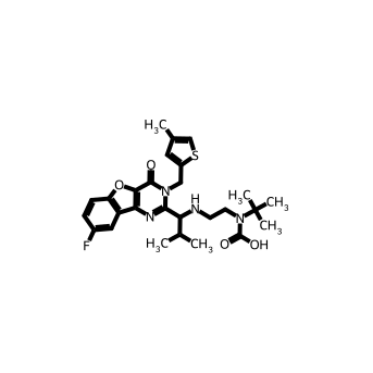 Cc1csc(Cn2c(C(NCCN(C(=O)O)C(C)(C)C)C(C)C)nc3c(oc4ccc(F)cc43)c2=O)c1